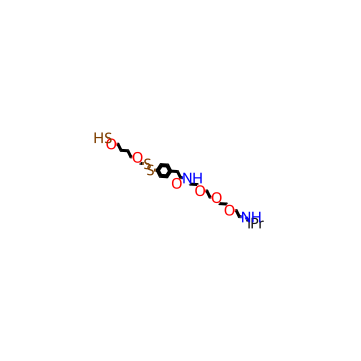 CC(C)NCCOCCOCCOCCNC(=O)Cc1ccc(SSCOCCCCOS)cc1